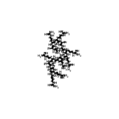 CC(C)[C@H](N)C(=O)N[C@H](C(=O)N[C@@H](CCCNC(=N)N)C(=O)N[C@@H](CCCNC(=N)N)C(=O)N[C@H](C(=O)N[C@H](C(=O)N[C@@H](CCCNC(=N)N)C(=O)N[C@@H](CCCNC(=N)N)C(=O)N[C@H](C(=O)N[C@@H](CCCNC(=N)N)C(=O)N[C@@H](CCCNC(=N)N)C(=O)N[C@H](C(=O)N[C@H](C(=O)N[C@@H](CCCNC(=N)N)C(=O)N[C@@H](CCCNC(=N)N)C(=O)O)C(C)C)C(C)C)C(C)C)C(C)C)C(C)C)C(C)C